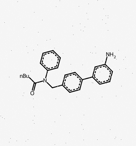 CCCCC(=O)N(Cc1ccc(-c2cccc(N)c2)cc1)c1ccccc1